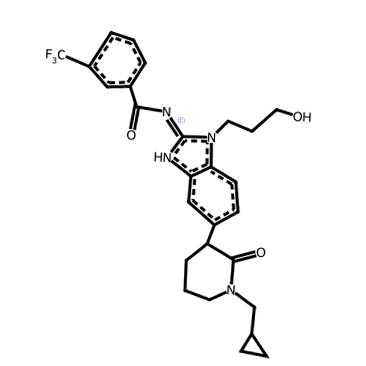 O=C(/N=c1\[nH]c2cc(C3CCCN(CC4CC4)C3=O)ccc2n1CCCO)c1cccc(C(F)(F)F)c1